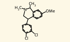 COc1ccc2c(c1)C(C)N(C)CC2c1ccc(Cl)c(Cl)c1